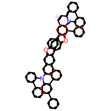 C=C(/C=C\c1cc2c(cc1C)oc1cc3c(cc12)oc1cc2cc(N(c4ccccc4-c4ccccc4)c4ccc(-c5ccccc5)cc4-c4ccccc4)ccc2cc13)N(c1ccccc1-c1ccccc1)c1ccc(-c2ccccc2)cc1-c1ccccc1